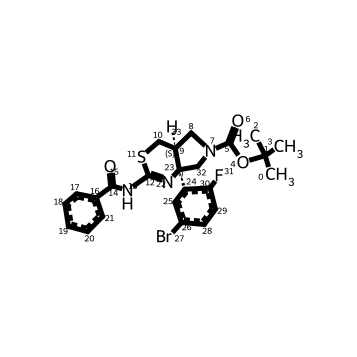 CC(C)(C)OC(=O)N1C[C@@H]2CSC(NC(=O)c3ccccc3)=N[C@]2(c2cc(Br)ccc2F)C1